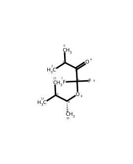 CC(C)C(=O)C(F)(F)O[C@H](C)C(C)C